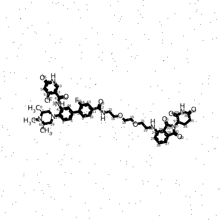 C[C@@H]1CN(c2ccc(-c3ccc(C(=O)NCCOCCOCCNc4cccc5c4C(=O)N(C4CCC(=O)NC4=O)C5=O)cc3F)cc2NC(=O)c2c[nH]c(=O)cc2C(F)(F)F)C[C@H](C)N1C